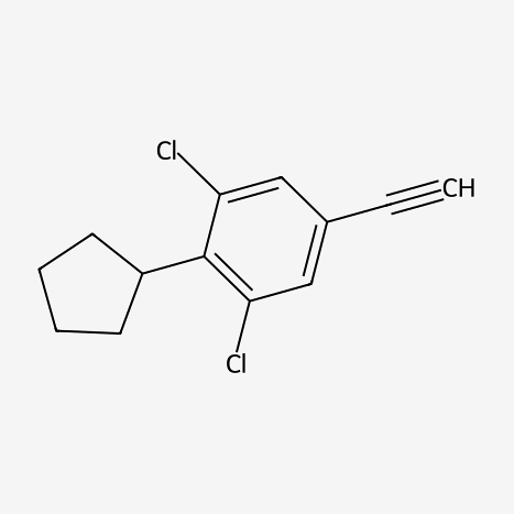 C#Cc1cc(Cl)c(C2CCCC2)c(Cl)c1